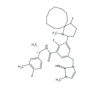 Cc1cc([C@H](C)NC(=O)c2cc(Cn3ccn(C)c3=N)cc(C3CCC(F)C4(CCCCCCCCC4)N3C(F)(F)F)c2F)ccc1F